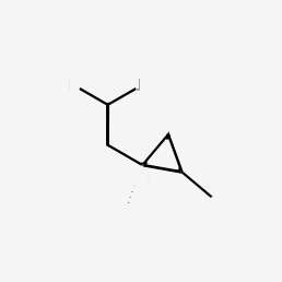 CC1C[C@]1(C)CC(F)F